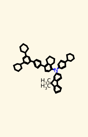 CC1(C)c2ccccc2-c2ccc(N(c3ccc(C4CCCCC4)cc3)c3ccc(-c4ccc(-c5cc(C6CCCCC6)cc(C6CCCCC6)c5)cc4)c4c3CCCC4)cc21